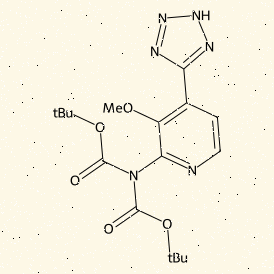 COc1c(-c2nn[nH]n2)ccnc1N(C(=O)OC(C)(C)C)C(=O)OC(C)(C)C